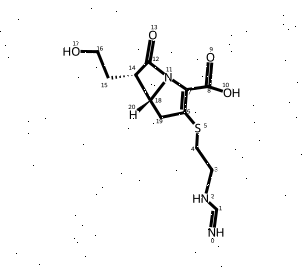 N=CNCCSC1=C(C(=O)O)N2C(=O)[C@@H](CCO)[C@H]2C1